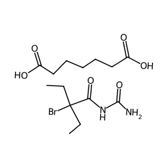 CCC(Br)(CC)C(=O)NC(N)=O.O=C(O)CCCCCC(=O)O